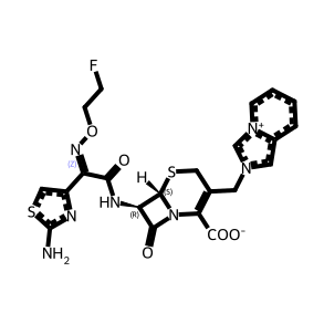 Nc1nc(/C(=N/OCCF)C(=O)N[C@@H]2C(=O)N3C(C(=O)[O-])=C(Cn4cc5cccc[n+]5c4)CS[C@@H]23)cs1